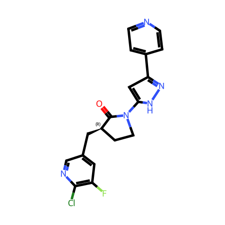 O=C1[C@H](Cc2cnc(Cl)c(F)c2)CCN1c1cc(-c2ccncc2)n[nH]1